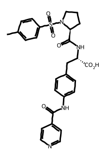 Cc1ccc(S(=O)(=O)N2CCC[C@H]2C(=O)N[C@@H](Cc2ccc(NC(=O)c3ccncc3)cc2)C(=O)O)cc1